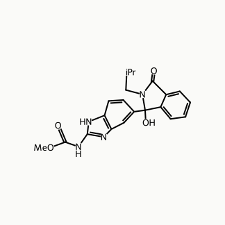 COC(=O)Nc1nc2cc(C3(O)c4ccccc4C(=O)N3CC(C)C)ccc2[nH]1